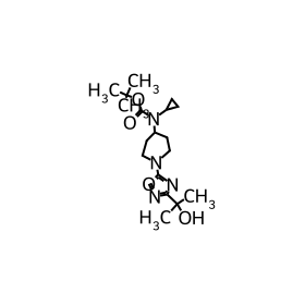 CC(C)(C)OC(=O)N(C1CC1)C1CCN(c2nc(C(C)(C)O)no2)CC1